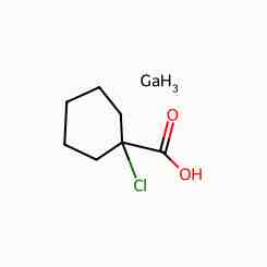 O=C(O)C1(Cl)CCCCC1.[GaH3]